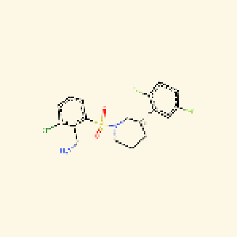 NCc1c(Cl)cccc1S(=O)(=O)N1CCC[C@@H](c2cc(F)ccc2F)C1